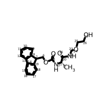 C[C@H](NC(=O)OCC1c2ccccc2-c2ccccc21)C(=O)NCOCCO